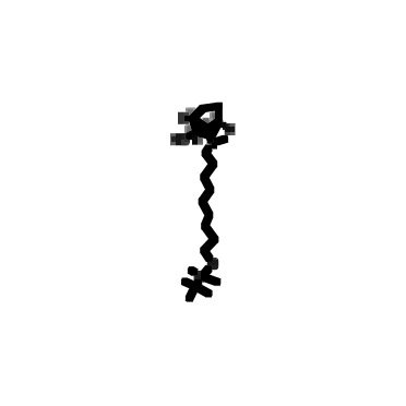 CN(CCCCCCCCCO[Si](C)(C)C(C)(C)C)[C@H]1[C@H]2CC[C@@H]1[C@H](O)C2